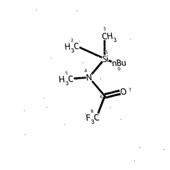 CCCC[Si](C)(C)N(C)C(=O)C(F)(F)F